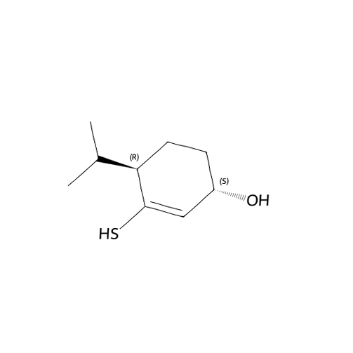 CC(C)[C@H]1CC[C@H](O)C=C1S